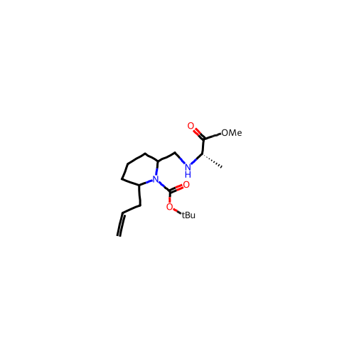 C=CCC1CCCC(CN[C@@H](C)C(=O)OC)N1C(=O)OC(C)(C)C